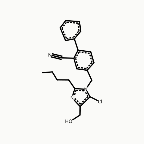 CCCCc1nc(CO)c(Cl)n1Cc1ccc(-c2ccccc2)c(C#N)c1